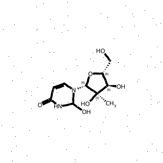 C[C@@]1(O)[C@H](O)[C@@H](CO)O[C@H]1N1C=CC(=O)NC1O